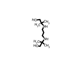 CC(C)(CO)NCCCNC(C)(C)CO